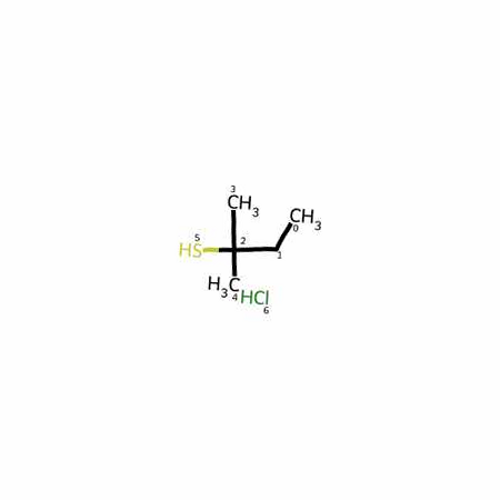 CCC(C)(C)S.Cl